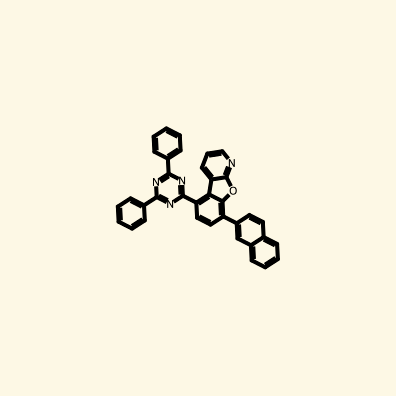 c1ccc(-c2nc(-c3ccccc3)nc(-c3ccc(-c4ccc5ccccc5c4)c4oc5ncccc5c34)n2)cc1